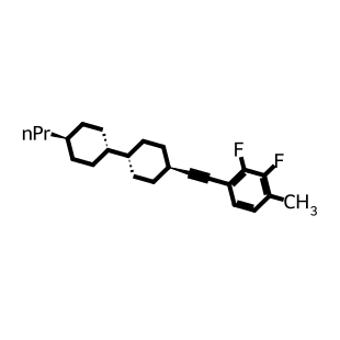 CCC[C@H]1CC[C@H]([C@H]2CC[C@H](C#Cc3ccc(C)c(F)c3F)CC2)CC1